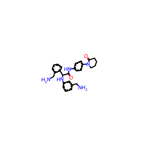 NCc1cccc(NC(C(=O)Nc2ccc(N3CCCCC3=O)cc2)c2ccccc2CN)c1